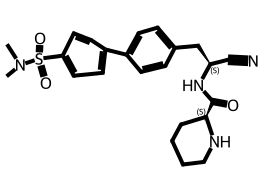 CN(C)S(=O)(=O)c1ccc(-c2ccc(C[C@@H](C#N)NC(=O)[C@@H]3CCCCN3)cc2)cc1